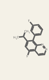 CC(C)c1cc(F)c2ccnnc2c1-c1cccc(F)c1